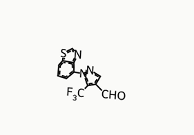 O=Cc1cnn(-c2cccc3scnc23)c1C(F)(F)F